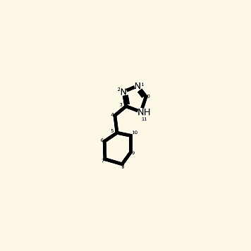 c1nnc(CC2CCCCC2)[nH]1